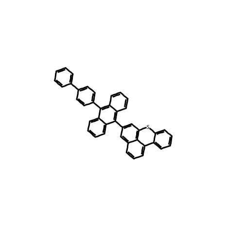 c1ccc(-c2ccc(-c3c4ccccc4c(-c4cc5c6c(cccc6c4)-c4ccccc4S5)c4ccccc34)cc2)cc1